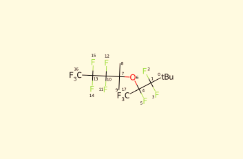 CC(C)(C)C(F)(F)C(F)(OC(C)(C)C(F)(F)C(F)(F)C(F)(F)F)C(F)(F)F